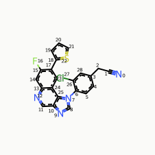 N#CCc1ccc(-n2cnc3cnc4cc(F)c(-c5cccs5)cc4c32)c(Cl)c1